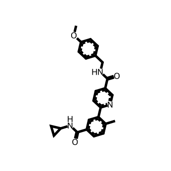 COc1ccc(CNC(=O)c2ccc(-c3cc(C(=O)NC4CC4)ccc3C)nc2)cc1